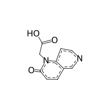 O=C(O)Cn1c(=O)ccc2cnccc21